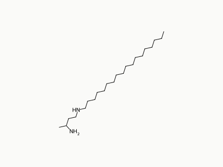 CCCCCCCCCCCCCCCCCCNCCC(C)N